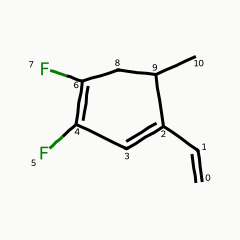 C=CC1=CC(F)=C(F)CC1C